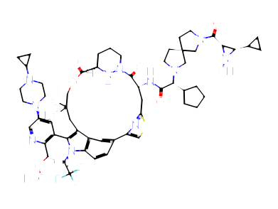 CO[C@@H](C)c1ncc(N2CCN(C3CC3)CC2)cc1-c1c2c3cc(ccc3n1CC(F)(F)F)-c1csc(n1)C[C@H](NC(=O)[C@H](C1CCCC1)N1CC[C@]3(CCN(C(=O)[C@H]4[C@@H](C5CC5)N4C)C3)C1)C(=O)N1CCC[C@H](N1)C(=O)OCC(C)(C)C2